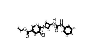 CCOC(=O)c1cnc(N2CC(NC(=O)Nc3ccccc3)C2)c(Cl)c1